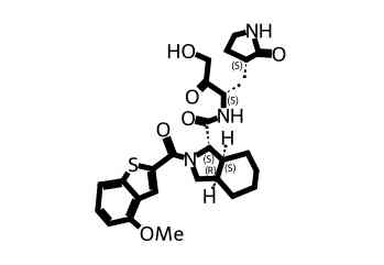 COc1cccc2sc(C(=O)N3C[C@@H]4CCCC[C@@H]4[C@H]3C(=O)N[C@@H](C[C@@H]3CCNC3=O)C(=O)CO)cc12